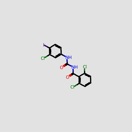 O=C(NC(=O)c1c(Cl)cccc1Cl)Nc1ccc(I)c(Cl)c1